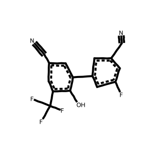 N#Cc1cc(F)cc(-c2cc(C#N)cc(C(F)(F)F)c2O)c1